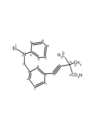 CCN(Cc1cccc(C#CC(C)(C)C(=O)O)c1)c1ccccc1